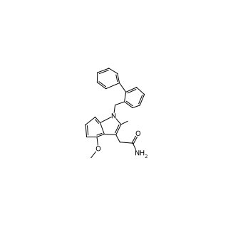 COc1cccc2c1c(CC(N)=O)c(C)n2Cc1ccccc1-c1ccccc1